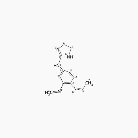 C=Nc1cc(NC2=NCCN2)ccc1/N=C\C